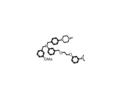 COc1cccc(CN(Cc2ccc(N3CCN(C)CC3)cc2)c2cccc(COCCOc3cccc(N(C)C)c3)c2)c1